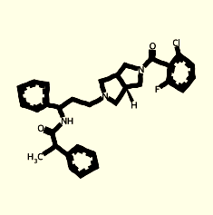 CC(C(=O)NC(CCN1CC2CN(C(=O)c3c(F)cccc3Cl)C[C@@H]2C1)c1ccccc1)c1ccccc1